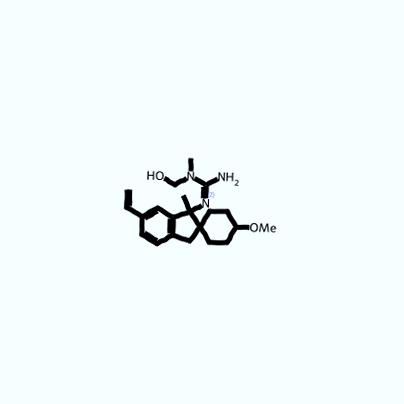 C=Cc1ccc2c(c1)C(C)(/N=C(/N)N(C)CO)C1(CCC(OC)CC1)C2